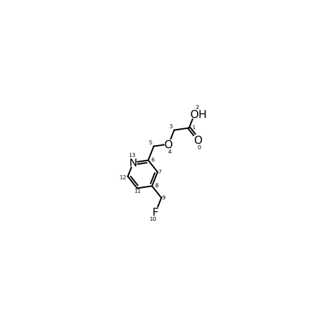 O=C(O)COCc1cc(CF)ccn1